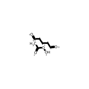 CC(=O)OO.O=CCCCC=O